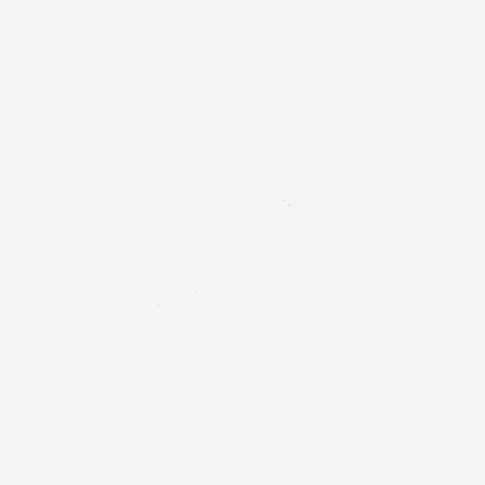 CC(C)(C)OC(=O)C1(C)C(S(=O)(=O)Cl)=Nc2ccc(F)cc21